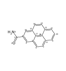 NC(=O)c1cc2ccc3cccc4ccc(c1)c2c34